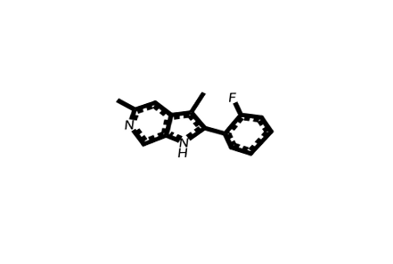 Cc1cc2c(C)c(-c3ccccc3F)[nH]c2cn1